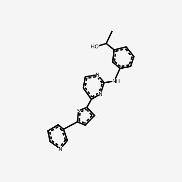 CC(O)c1cccc(Nc2nccc(-c3ccc(-c4cccnc4)s3)n2)c1